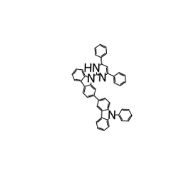 C1=C(c2ccccc2)N=C(n2c3ccccc3c3ccc(-c4ccc5c(c4)c4ccccc4n5-c4ccccc4)cc32)NC1c1ccccc1